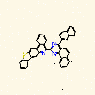 c1ccc2cc(-c3nc(-c4nc5cc6c(cc5c5ccccc45)sc4ccccc46)nc4c3ccc3ccccc34)ccc2c1